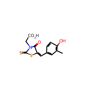 Cc1cc(C=C2SC(=S)N(CC(=O)O)C2=O)ccc1O